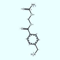 NCc1ccc(C(=O)OCOC(N)=O)cc1